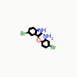 Nc1cc(Br)ccc1Oc1c[nH]c2ccc(Br)cc12